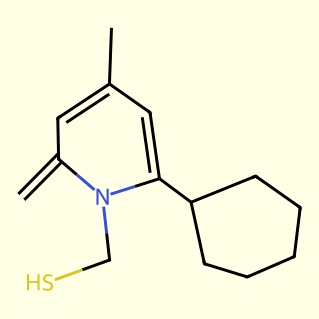 C=C1C=C(C)C=C(C2CCCCC2)N1CS